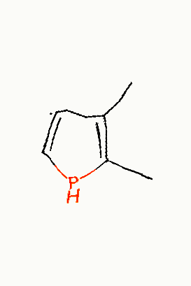 Cc1[c]c[pH]c1C